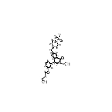 Cl.Cn1cc(-c2cccc(OCCCO)c2)c2sc(CN3CCN(S(C)(=O)=O)CC3)cc2c1=O